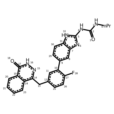 CCCNC(=O)Nc1nc2cc(-c3cc(Cc4n[nH]c(=O)c5ccccc45)ccc3F)ccc2[nH]1